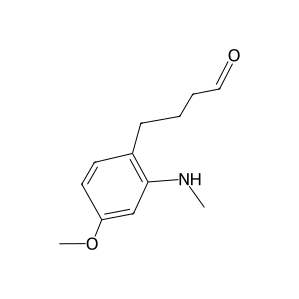 CNc1cc(OC)ccc1CCCC=O